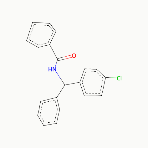 O=C(NC(c1ccccc1)c1ccc(Cl)cc1)c1ccccc1